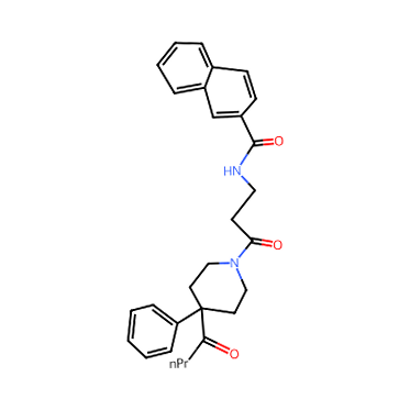 CCCC(=O)C1(c2ccccc2)CCN(C(=O)CCNC(=O)c2ccc3ccccc3c2)CC1